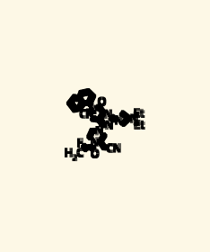 C=C(F)C(=O)N1CCN(c2nc(N3CC(N(CC)CC)C3)nc3c(=O)n(-c4cccc5cccc(Cl)c45)ncc23)CC1CC#N